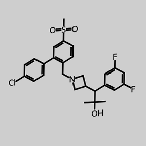 CC(C)(O)C(c1cc(F)cc(F)c1)C1CN(Cc2ccc(S(C)(=O)=O)cc2-c2ccc(Cl)cc2)C1